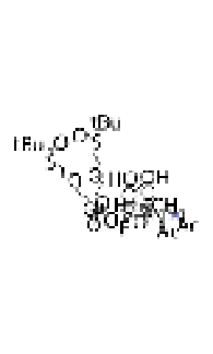 CC(=O)/C=C\N(C(C)=O)[C@@H]1O[C@](F)(COP(=O)(OCCOCCSC(=O)C(C)(C)C)OCCOCCSC(=O)C(C)(C)C)[C@H]2OC(O)(O)O[C@@]12C